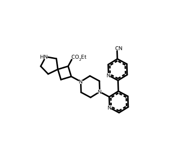 CCOC(=O)C1C(N2CCN(c3ncccc3-c3ccc(C#N)cn3)CC2)CC12CCNC2